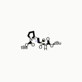 CC(C)(C)OC(=O)NS(=O)(=O)/C=C/[C@H]1CCCN1C(=O)OC(C)(C)C